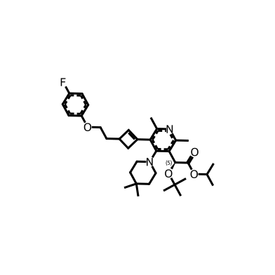 Cc1nc(C)c([C@H](OC(C)(C)C)C(=O)OC(C)C)c(N2CCC(C)(C)CC2)c1C1=CC(CCOc2ccc(F)cc2)C1